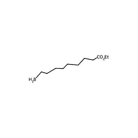 BCCCCCCCCC(=O)OCC